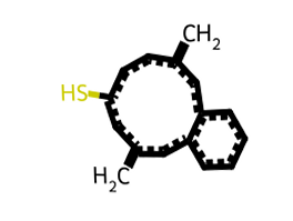 C=c1ccc(S)cc(=C)cc2ccccc2c1